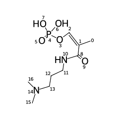 CC(=COP(=O)(O)O)C(=O)NCCCN(C)C